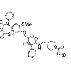 CCCCC1(CC)C(=O)[SH]c2cc(OCC(=O)N[C@@H](C(=O)NCC3CCN(C(=O)OC(C)(C)C)CC3)c3ccccc3)c(SC)cc2N(c2ccccc2)C1=O